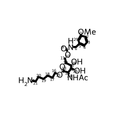 COc1cccc(CNC(=O)OCC2OC(OCCCCCCN)C(NC(C)=O)C(O)C2O)c1